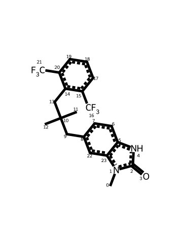 Cn1c(=O)[nH]c2ccc(CC(C)(C)Cc3c(C(F)(F)F)cccc3C(F)(F)F)cc21